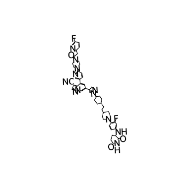 N#Cc1cnn2cc(-c3cnn([C@H]4CC[C@H](CCC5CCN(c6ccc(NC7CCC(=O)NC7=O)cc6F)CC5)CC4)c3)cc(-c3ccc(N4CCN(C(=O)Cc5ccc(F)cn5)CC4)nc3)c12